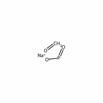 C=O.O=P[O-].[Na+]